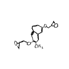 Cc1cc2cc(OCC3CO3)ccc2cc1OCC1CO1